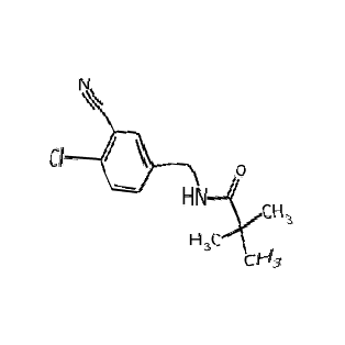 CC(C)(C)C(=O)NCc1ccc(Cl)c(C#N)c1